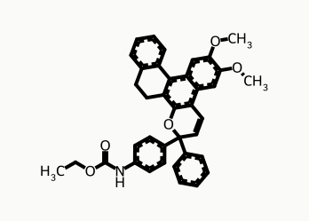 CCOC(=O)Nc1ccc(C2(c3ccccc3)C=Cc3c(c4c(c5cc(OC)c(OC)cc35)-c3ccccc3CC4)O2)cc1